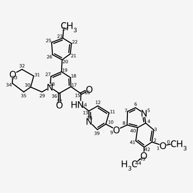 COc1cc2nccc(Oc3ccc(NC(=O)c4cc(-c5ccc(C)cc5)cn(CC5CCOCC5)c4=O)nc3)c2cc1OC